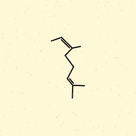 CC=C(C)CCC=C(C)C